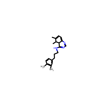 Bc1ccc(CCCNC2=NC=NC3=CC=C(C)C(C)C32)cc1B